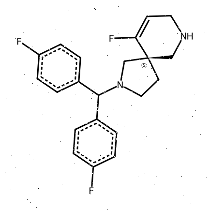 FC1=CCNC[C@]12CCN(C(c1ccc(F)cc1)c1ccc(F)cc1)C2